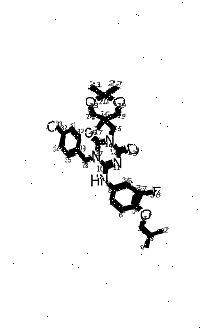 CC(C)COc1ccc(Nc2nc(=O)n(CC3(C)COC(C)(C)OC3)c(=O)n2Cc2ccc(Cl)cc2)cc1F